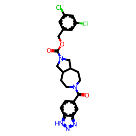 O=C(OCc1cc(Cl)cc(Cl)c1)N1CC2CCN(C(=O)c3ccc4[nH]nnc4c3)CCC2C1